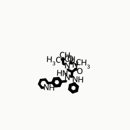 CN1C(=O)C2C(Nc3ccccc3)N(Cc3ccc(C4CCCCN4)cc3)NC2N(CC(C)(C)C)C1=O